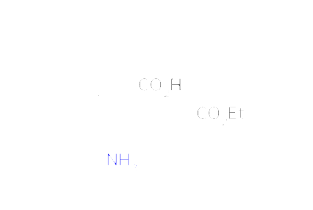 C=C(C)C(=O)O.C=CC(=O)OCC.N